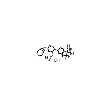 CCc1cc(CN2C3CCC2CNC3)ccc1-c1ccc(C(O)(C(F)(F)F)C(F)(F)F)cc1.Cl